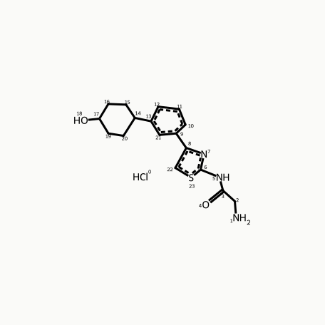 Cl.NCC(=O)Nc1nc(-c2cccc(C3CCC(O)CC3)c2)cs1